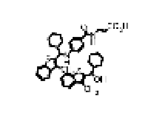 Cc1c(C(Nc2ccc(C(=O)NCCC(=O)O)cc2)C2CCCCC2)sc2ccccc12.Cc1c(C(O)C2CCCCC2)sc2ccccc12